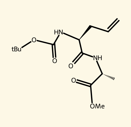 C=CC[C@H](NC(=O)OC(C)(C)C)C(=O)N[C@H](C)C(=O)OC